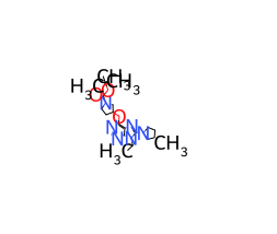 CCn1c(N2CCC(C)C2)nc2c(O[C@H]3CCN(C(=O)OC(C)(C)C)C3)ncnc21